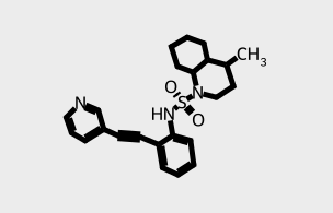 CC1CCN(S(=O)(=O)Nc2ccccc2C#Cc2cccnc2)C2CCCCC12